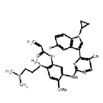 C=CC(=O)Nc1cc(Nc2ncc(C#N)c(-c3cn(C4CC4)c4ccc(F)cc34)n2)c(OC)cc1N(C)CCN(C)C